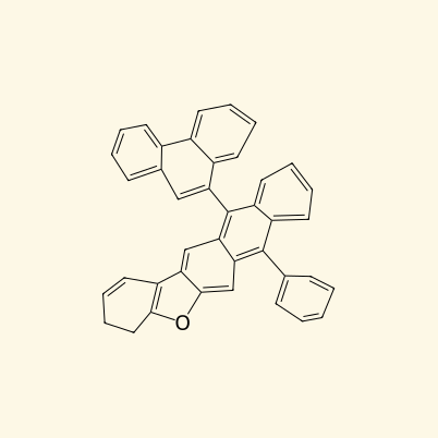 C1=Cc2c(oc3cc4c(-c5ccccc5)c5ccccc5c(-c5cc6ccccc6c6ccccc56)c4cc23)CC1